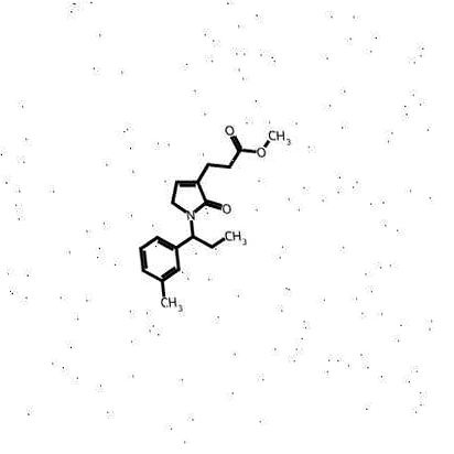 CCC(c1cccc(C)c1)N1CC=C(CCC(=O)OC)C1=O